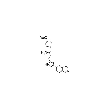 COc1ccc(C[C@H](N)CCc2cc(-c3ccc4cnccc4c3)c[nH]2)cc1